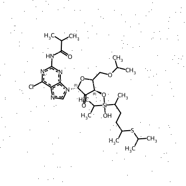 CC(C)OCC1O[C@@H](n2cnc3c(Cl)nc(NC(=O)C(C)C)nc32)C(=O)[C@@H]1O[Si](O)(C(C)C)C(C)CCC(C)SC(C)C